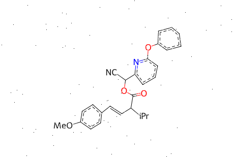 COc1ccc(C=CC(C(=O)OC(C#N)c2cccc(Oc3ccccc3)n2)C(C)C)cc1